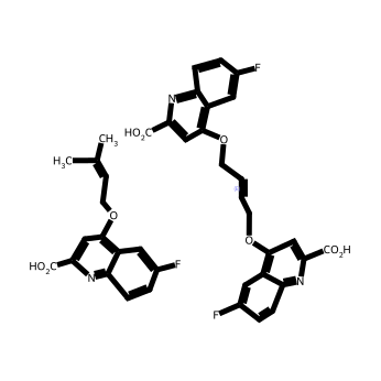 CC(C)=CCOc1cc(C(=O)O)nc2ccc(F)cc12.O=C(O)c1cc(OC/C=C/COc2cc(C(=O)O)nc3ccc(F)cc23)c2cc(F)ccc2n1